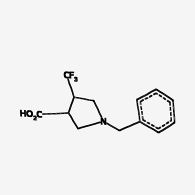 O=C(O)C1CN(Cc2ccccc2)CC1C(F)(F)F